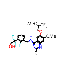 COc1cc2nc(C)nc(NCc3cccc(C(F)(F)CO)c3F)c2cc1OCC(OC)C(F)(F)F